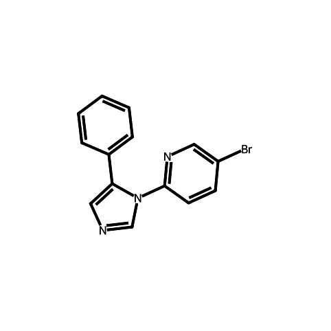 Brc1ccc(-n2cncc2-c2ccccc2)nc1